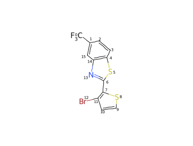 FC(F)(F)c1ccc2sc(-c3sccc3Br)nc2c1